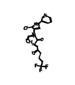 CCN(C(=O)CCC(=O)CCCC(F)(F)F)c1cn(-c2cccnc2)nc1Cl